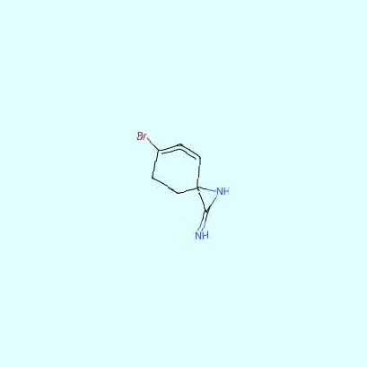 N=C1NC12C=C=C(Br)CC2